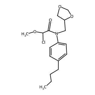 CCCCc1ccc(N(CC2COCO2)C(=O)C(Cl)OC)cc1